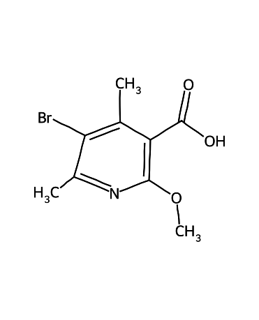 COc1nc(C)c(Br)c(C)c1C(=O)O